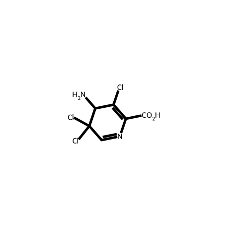 NC1C(Cl)=C(C(=O)O)N=CC1(Cl)Cl